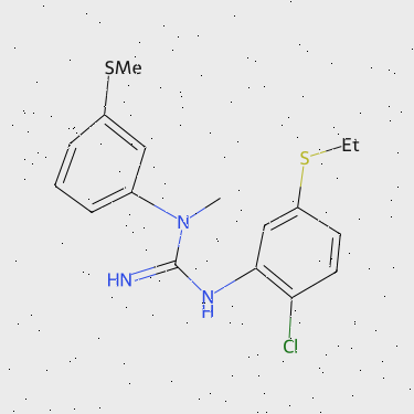 CCSc1ccc(Cl)c(NC(=N)N(C)c2cccc(SC)c2)c1